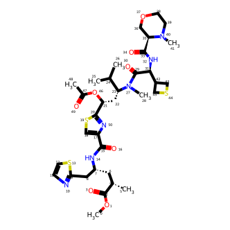 COC(=O)[C@@H](C)C[C@H](Cc1nccs1)NC(=O)c1csc([C@@H](C[C@H](C(C)C)N(C)C(=O)[C@@H](NC(=O)[C@H]2COCCN2C)C2CSC2)OC(C)=O)n1